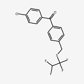 O=C(c1ccc(Cl)cc1)c1ccc(CSC(F)(F)C(F)F)cc1